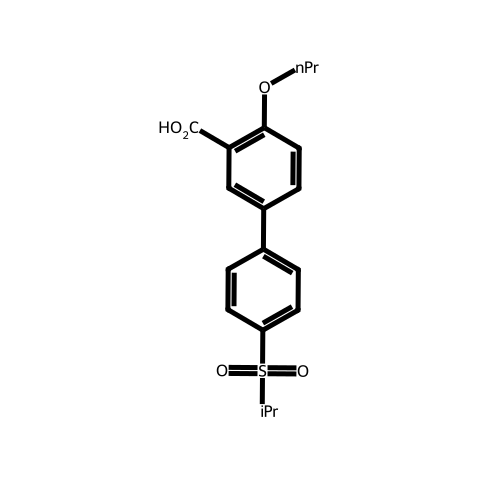 CCCOc1ccc(-c2ccc(S(=O)(=O)C(C)C)cc2)cc1C(=O)O